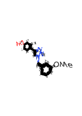 COc1cccc(Cn2cc(-c3ccc(O)cc3)nn2)c1